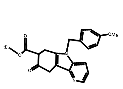 COc1ccc(Cn2c3c(c4ncccc42)CC(=O)C(C(=O)OC(C)(C)C)C3)cc1